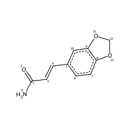 NC(=O)/C=C/c1ccc2c(c1)OCO2